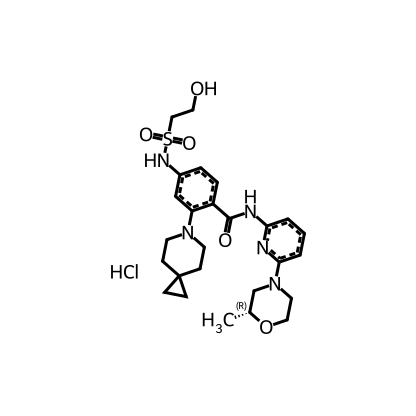 C[C@@H]1CN(c2cccc(NC(=O)c3ccc(NS(=O)(=O)CCO)cc3N3CCC4(CC3)CC4)n2)CCO1.Cl